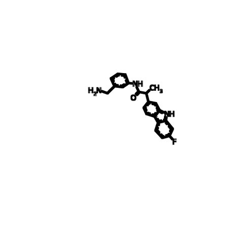 CC(C(=O)Nc1cccc(CN)c1)c1ccc2c(c1)[nH]c1cc(F)ccc12